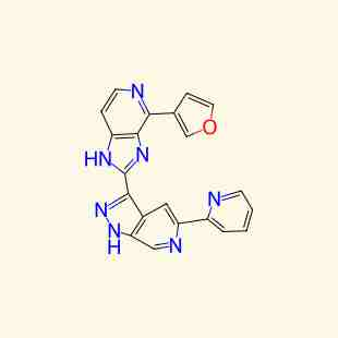 c1ccc(-c2cc3c(-c4nc5c(-c6ccoc6)nccc5[nH]4)n[nH]c3cn2)nc1